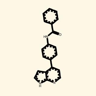 O=C(Nc1ccc(-c2ccnc3[nH]ccc23)cc1)c1ccccc1